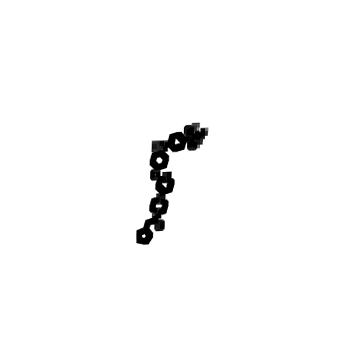 O=C(CC1CCCC1)N1CCN(c2ccnc(O[C@H]3CC[C@H](Nc4ccc(S(=O)(=O)C(F)(F)F)cc4)CC3)c2)CC1